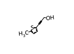 Cc1ccc(C#CCO)s1